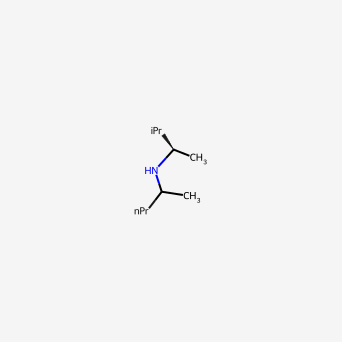 CCCC(C)N[C@H](C)C(C)C